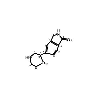 O=C1NCc2cc([C@@H]3CNCCO3)ccc21